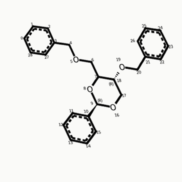 c1ccc(COCC2O[C@H](c3ccccc3)OC[C@H]2OCc2ccccc2)cc1